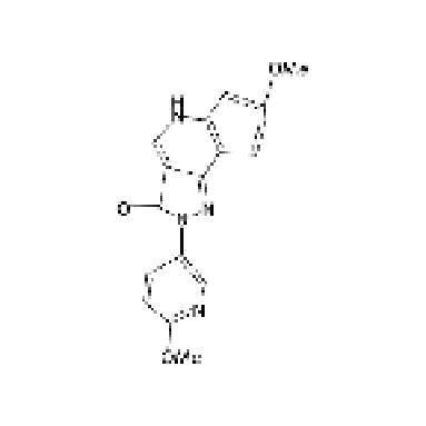 COc1ccc2c3nn(-c4ccc(OC)nc4)c(=O)c-3c[nH]c2c1